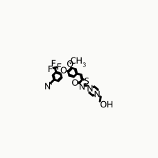 COc1cc(/C=C2/SC(N3CCN(CCO)CC3)=NC2=O)ccc1Oc1ccc(C#N)cc1C(F)(F)F